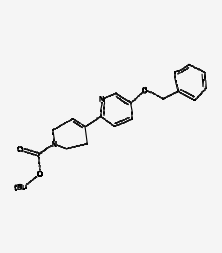 CC(C)(C)OC(=O)N1CC=C(c2ccc(OCc3ccccc3)cn2)CC1